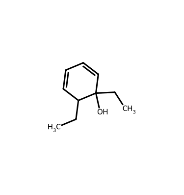 CCC1C=CC=CC1(O)CC